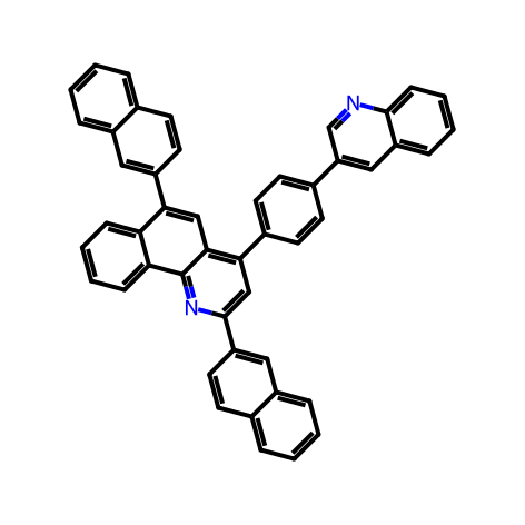 c1ccc2cc(-c3cc(-c4ccc(-c5cnc6ccccc6c5)cc4)c4cc(-c5ccc6ccccc6c5)c5ccccc5c4n3)ccc2c1